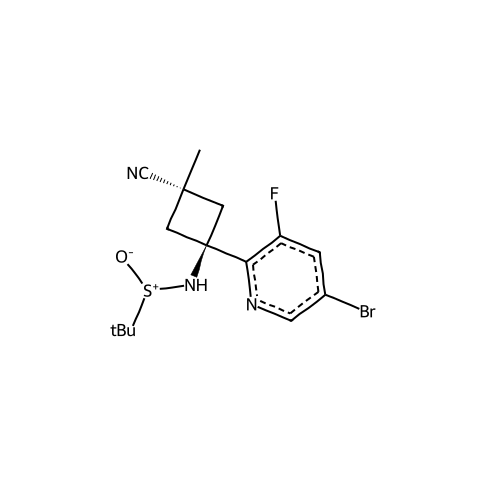 CC(C)(C)[S+]([O-])N[C@]1(c2ncc(Br)cc2F)C[C@@](C)(C#N)C1